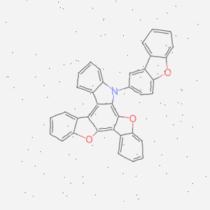 c1ccc2c(c1)oc1ccc(-n3c4ccccc4c4c5c6ccccc6oc5c5c6ccccc6oc5c43)cc12